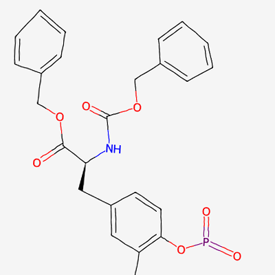 Cc1cc(C[C@H](NC(=O)OCc2ccccc2)C(=O)OCc2ccccc2)ccc1OP(=O)=O